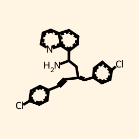 NC(C/C(C#Cc1ccc(Cl)cc1)=C\c1ccc(Cl)cc1)c1cccc2cccnc12